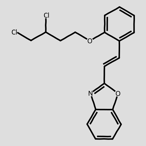 ClCC(Cl)CCOc1ccccc1/C=C/c1nc2ccccc2o1